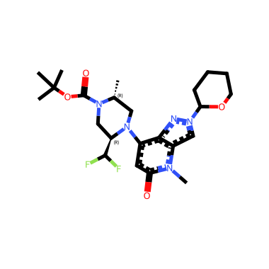 C[C@@H]1CN(c2cc(=O)n(C)c3cn(C4CCCCO4)nc23)[C@@H](C(F)F)CN1C(=O)OC(C)(C)C